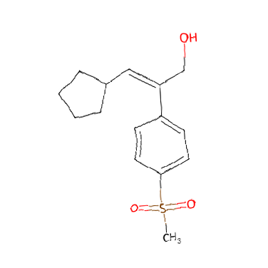 CS(=O)(=O)c1ccc(/C(=C\C2CCCC2)CO)cc1